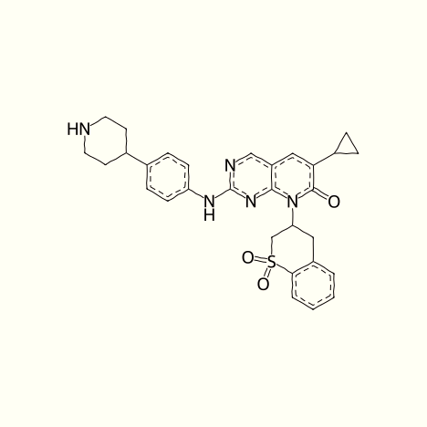 O=c1c(C2CC2)cc2cnc(Nc3ccc(C4CCNCC4)cc3)nc2n1C1Cc2ccccc2S(=O)(=O)C1